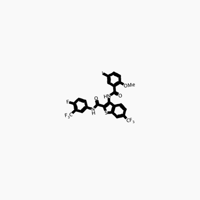 COc1ccc(I)cc1C(=O)Nc1c(C(=O)Nc2ccc(F)c(C(F)(F)F)c2)sc2cc(C(F)(F)F)ccc12